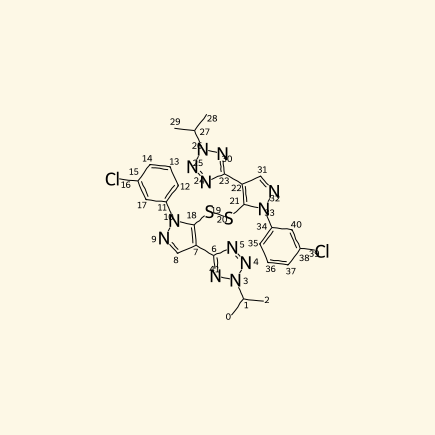 CC(C)n1nnc(-c2cnn(-c3cccc(Cl)c3)c2SSc2c(-c3nnn(C(C)C)n3)cnn2-c2cccc(Cl)c2)n1